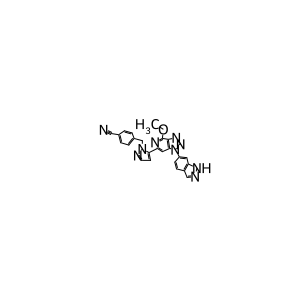 COc1nc(-c2ccnn2Cc2ccc(C#N)cc2)cc2c1nnn2-c1ccc2cn[nH]c2c1